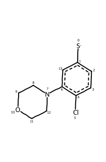 [S]c1ccc(Cl)c(N2CCOCC2)c1